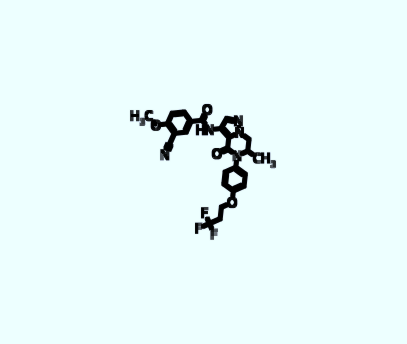 COc1ccc(C(=O)Nc2cnn3c2C(=O)N(c2ccc(OCCC(F)(F)F)cc2)C(C)C3)cc1C#N